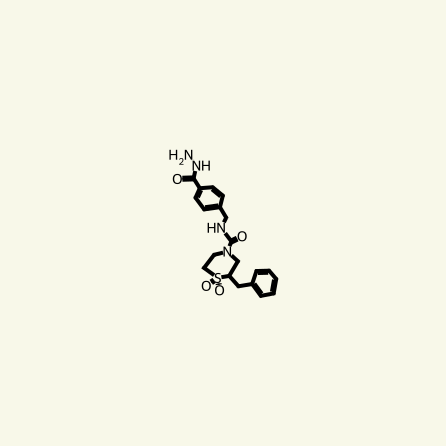 NNC(=O)c1ccc(CNC(=O)N2CCS(=O)(=O)C(Cc3ccccc3)C2)cc1